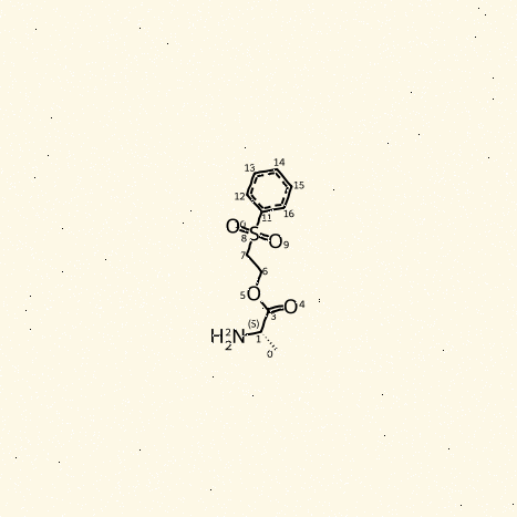 C[C@H](N)C(=O)OCCS(=O)(=O)c1ccccc1